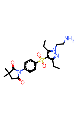 CCc1nn(CCN)c(CC)c1S(=O)(=O)c1ccc(N2C(=O)CC(C)(C)C2=O)cc1